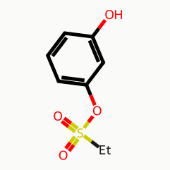 CCS(=O)(=O)Oc1cccc(O)c1